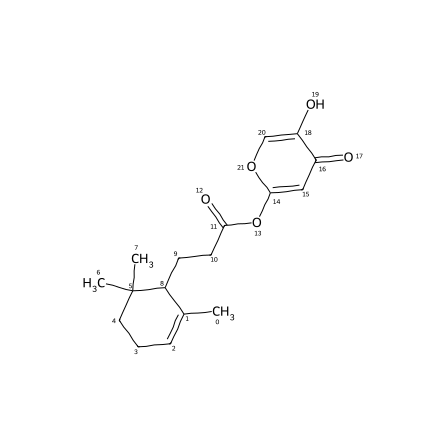 CC1=CCCC(C)(C)C1CCC(=O)Oc1cc(=O)c(O)co1